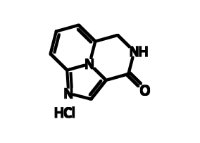 Cl.O=C1NCc2cccc3ncc1n23